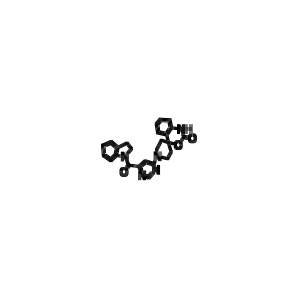 O=C1Nc2ccccc2C2(CCN(c3cc(C(=O)N4CCc5ccccc54)ncn3)CC2)O1